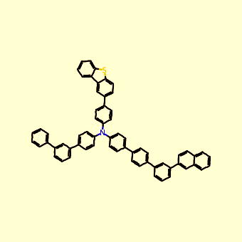 c1ccc(-c2cccc(-c3ccc(N(c4ccc(-c5ccc(-c6cccc(-c7ccc8ccccc8c7)c6)cc5)cc4)c4ccc(-c5ccc6sc7ccccc7c6c5)cc4)cc3)c2)cc1